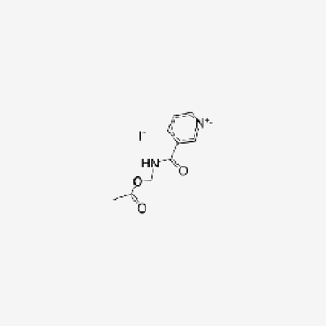 CC(=O)OCNC(=O)c1ccc[n+](C)c1.[I-]